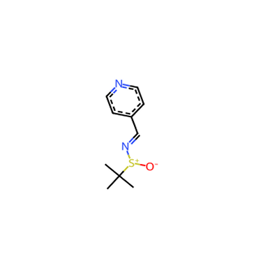 CC(C)(C)[S+]([O-])N=Cc1ccncc1